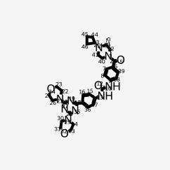 C[C@@H]1CN(C(=O)c2ccc(NC(=O)Nc3ccc(-c4nc(N5CCOCC5)nc(N5CCOCC5)n4)cc3)cc2)CCN1C1CCC1